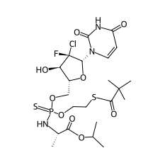 CC(C)OC(=O)[C@H](C)NP(=S)(OCCSC(=O)C(C)(C)C)OC[C@H]1O[C@@H](n2ccc(=O)[nH]c2=O)[C@@](F)(Cl)[C@@H]1O